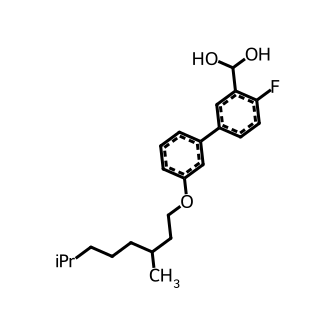 CC(C)CCCC(C)CCOc1cccc(-c2ccc(F)c(C(O)O)c2)c1